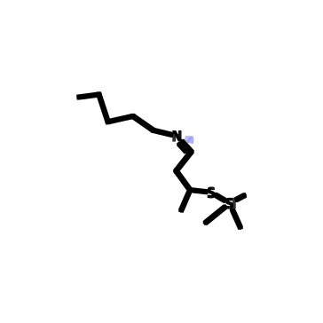 CCCCC/N=C\CC(C)S[Si](C)(C)C